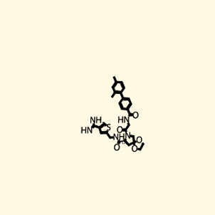 Cc1ccc(-c2ccc(C(=O)NCC(=O)N3CC4(C[C@H]3C(=O)NCc3cc(C(=N)N)cs3)OCCO4)cc2)c(C)c1